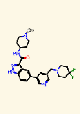 CC(C)(C)N1CCC(NC(=O)c2n[nH]c3ccc(-c4cncc(CN5CCC(F)(F)CC5)c4)cc23)CC1